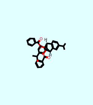 CC(C)c1ccc2c(c1)[C@H]1c3cc(C(C)C)ccc3[C@H]2C(OC(=O)c2ccccc2)C1OC(=O)c1ccccc1